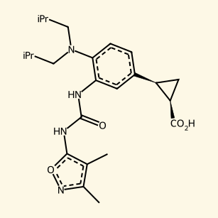 Cc1noc(NC(=O)Nc2cc([C@H]3C[C@H]3C(=O)O)ccc2N(CC(C)C)CC(C)C)c1C